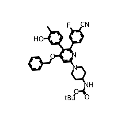 Cc1ccc(-c2c(OCc3ccccc3)cc(N3CCC(NC(=O)OC(C)(C)C)CC3)nc2-c2ccc(C#N)c(F)c2)cc1O